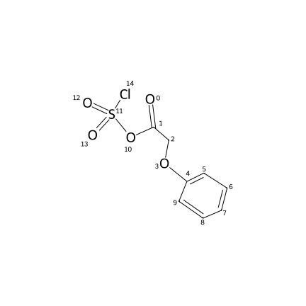 O=C(COc1ccccc1)OS(=O)(=O)Cl